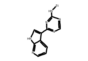 CCNc1ncnc(-c2c[nH]c3ncccc23)n1